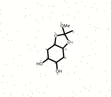 COC1(C)OC2CC(O)C(O)CC2O1